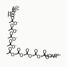 CC(=O)[O-].CC(=O)[O-].CC(=O)[O-].CC(=O)[O-].CC(=O)[O-].CC(=O)[O-].CC(=O)[O-].CC(=O)[O-].CC(=O)[O-].[Al+3].[Al+3].[Al+3].[Al+3].[OH-].[OH-].[OH-]